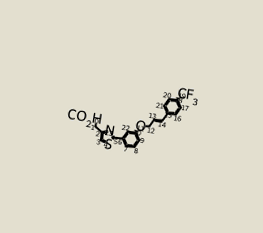 O=C(O)Cc1csc(-c2cccc(OCC=Cc3ccc(C(F)(F)F)cc3)c2)n1